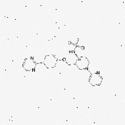 CS(=O)(=O)N[C@H]1CCN(c2ccccn2)CC1COC1CCC(c2ncccn2)CC1